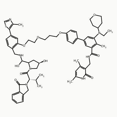 CCN(c1cc(-c2ccc(OCCCOCCOc3cc(-c4scnc4C)ccc3CNC(O)C3C[C@@H](O)CN3C(=O)[C@H](C(C)C)N3Cc4ccccc4C3=O)cc2)cc(C(=O)NCc2c(C)cc(C)[nH]c2=O)c1C)C1CCOCC1